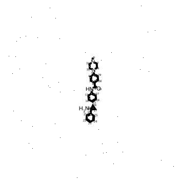 CN1CCN(c2ccc(C(=O)Nc3ccc([C@@H]4C[C@@]4(N)c4ccccc4)cc3)cc2)CC1